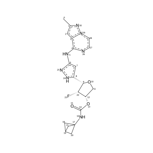 Cc1cc2c(Nc3cc([C@@H]4OC[C@H](OC(=O)NC56CC(C5)C6)[C@@H]4F)[nH]n3)nccn2n1